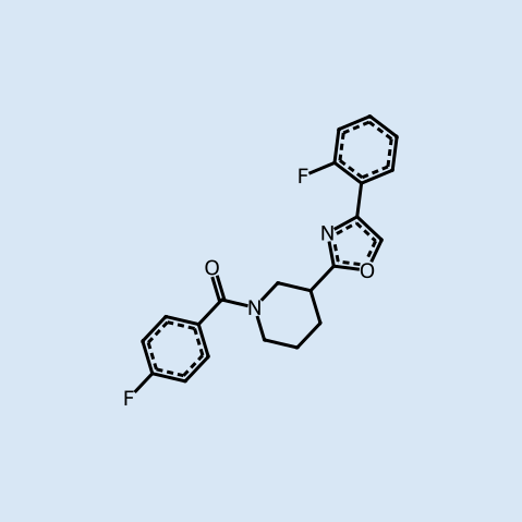 O=C(c1ccc(F)cc1)N1CCCC(c2nc(-c3ccccc3F)co2)C1